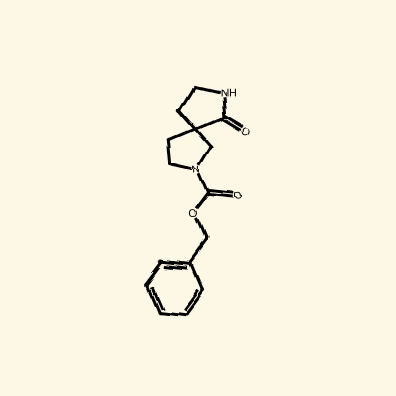 O=C(OCc1ccccc1)N1CCC2(CCNC2=O)C1